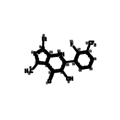 CCn1nc(C)c2c(=O)c(O)c(-c3cccc(C(F)(F)F)c3F)[nH]c21